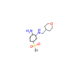 CCS(=O)(=O)c1ccc(N)c(NCC2CCOCC2)c1